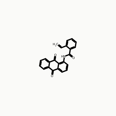 C=Cc1ccccc1C(=O)Nc1cccc2c1C(=O)c1ccccc1C2=O